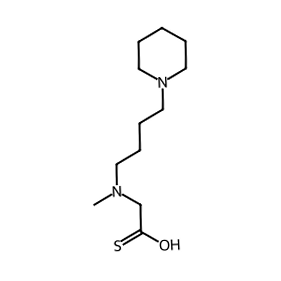 CN(CCCCN1CCCCC1)CC(O)=S